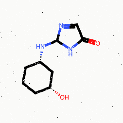 O=C1C=NC(N[C@H]2CCC[C@@H](O)C2)N1